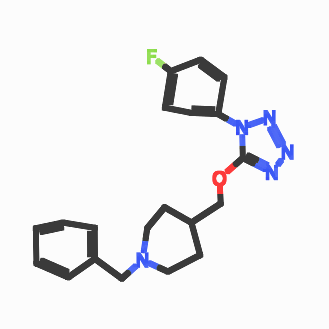 Fc1ccc(-n2nnnc2OCC2CCN(Cc3ccccc3)CC2)cc1